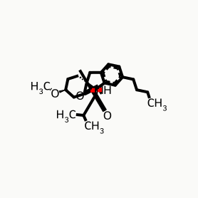 CCCCc1ccc2c(c1)C1(NC(=O)N(C(C)C)C1=O)[C@]1(CC[C@H](OC)CC1)C2